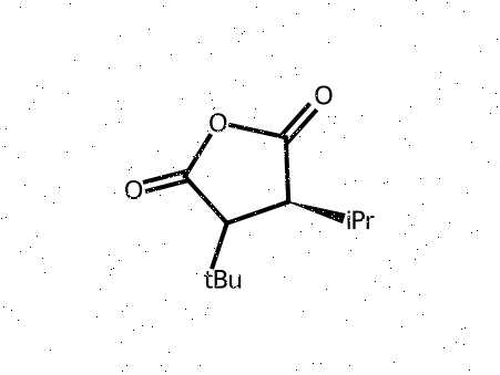 CC(C)[C@@H]1C(=O)OC(=O)C1C(C)(C)C